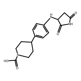 O=C1CC(Nc2ccc(C3CCN(C(=O)O)CC3)cc2)C(=O)N1